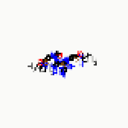 CC(C)NC(=O)c1cc2ccc(-c3nc(Nc4cc5cn[nH]c5cc4-c4cc5nc(-c6ccc7cc(C(=O)NC(C)C)sc7c6)nc(Nc6ccc7[nH]ncc7c6)c5s4)c4occc4n3)cc2s1